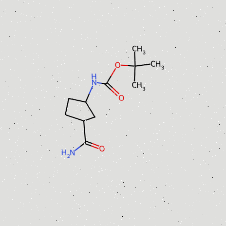 CC(C)(C)OC(=O)NC1CCC(C(N)=O)C1